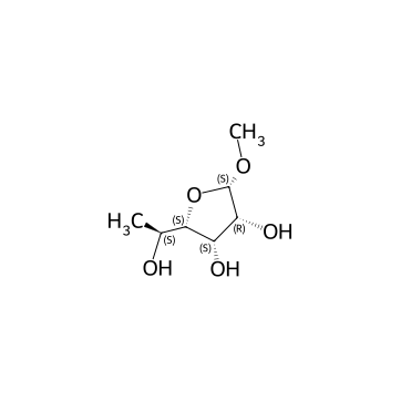 CO[C@H]1O[C@@H]([C@H](C)O)[C@@H](O)[C@H]1O